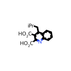 CC(C)Cc1c(C(=O)O)c(C(=O)O)nc2ccccc12